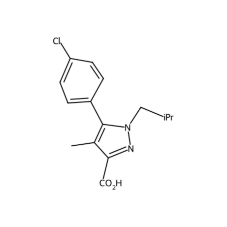 Cc1c(C(=O)O)nn(CC(C)C)c1-c1ccc(Cl)cc1